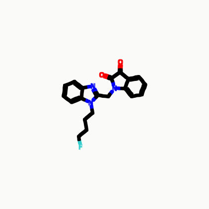 O=C1C(=O)N(Cc2nc3ccccc3n2CCCCF)c2ccccc21